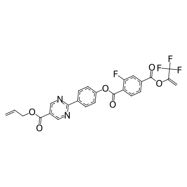 C=CCOC(=O)c1cnc(-c2ccc(OC(=O)c3ccc(C(=O)OC(=C)C(F)(F)F)cc3F)cc2)nc1